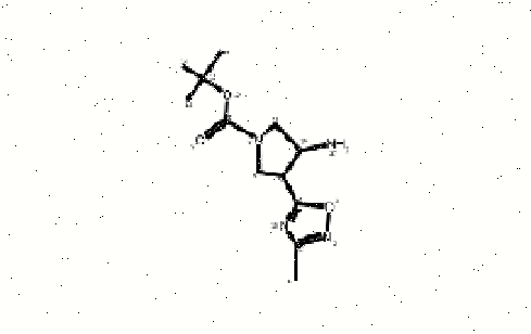 Cc1noc(C2CN(C(=O)OC(C)(C)C)CC2N)n1